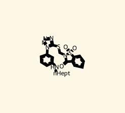 CCCCCCCNc1cccc(-n2nnnc2SCN2C(=O)c3ccccc3S2(=O)=O)c1